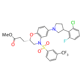 COC(=O)CC[C@H]1CN(S(=O)(=O)c2cccc(C(F)(F)F)c2)c2cc(N3CCC(c4c(F)cccc4Cl)C3)ccc2O1